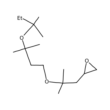 CCC(C)(C)OC(C)(C)CCOC(C)(C)CC1CO1